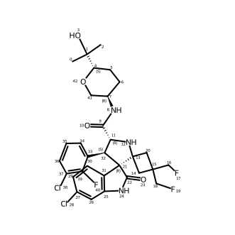 CC(C)(O)[C@@H]1CC[C@@H](NC(=O)[C@@H]2NC3(CC(CF)(CF)C3)[C@@]3(C(=O)Nc4cc(Cl)ccc43)[C@H]2c2cccc(Cl)c2F)CO1